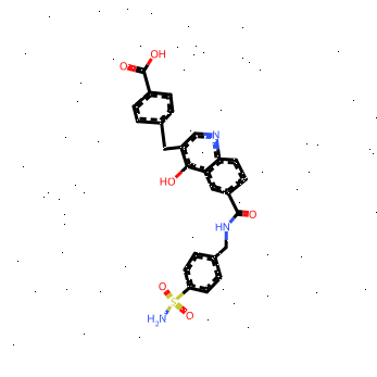 NS(=O)(=O)c1ccc(CNC(=O)c2ccc3ncc(Cc4ccc(C(=O)O)cc4)c(O)c3c2)cc1